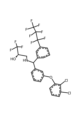 O[C@H](CNC(c1cccc(Oc2cccc(Cl)c2Cl)c1)c1cccc(C(F)(F)C(F)(F)C(F)(F)F)c1)C(F)(F)F